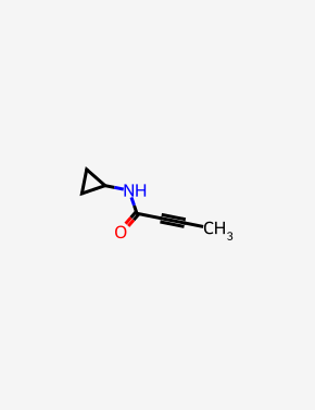 CC#CC(=O)NC1CC1